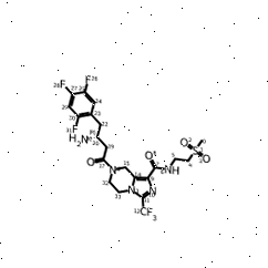 CS(=O)(=O)CCNC(=O)c1nc(C(F)(F)F)n2c1CN(C(=O)C[C@H](N)Cc1cc(F)c(F)cc1F)CC2